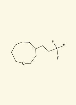 FC(F)(F)CCC1CCCCCCCC1